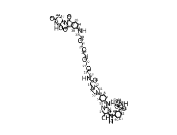 Cc1cnc(Nc2ccc(N3CCN(CC(=O)NCCOCCOCCOCCOCCNc4ccc5c(c4)C(=O)N(C4CCC(=O)NC4=O)C5=O)CC3)cc2)nc1Nc1cccc(S(=O)(=O)NC(C)(C)C)c1